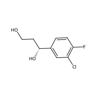 OCC[C@@H](O)c1ccc(F)c(Cl)c1